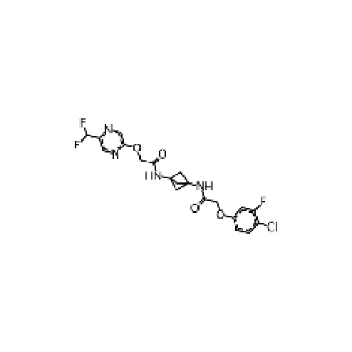 O=C(COc1ccc(Cl)c(F)c1)NC12CC(NC(=O)COc3cnc(C(F)F)cn3)(C1)C2